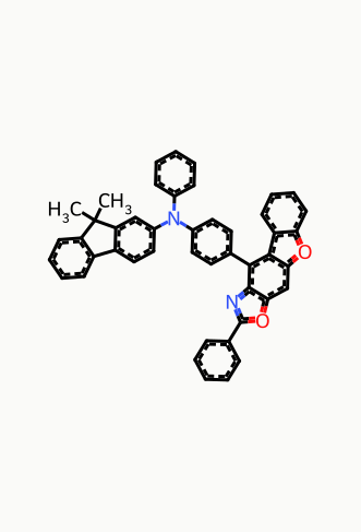 CC1(C)c2ccccc2-c2ccc(N(c3ccccc3)c3ccc(-c4c5nc(-c6ccccc6)oc5cc5oc6ccccc6c45)cc3)cc21